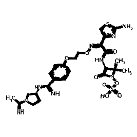 CC(=N)N1CC[C@H](NC(=N)c2ccc(OCCO/N=C(\C(=O)N[C@@H]3C(=O)N(OS(=O)(=O)O)C3(C)C)c3csc(N)n3)cc2)C1